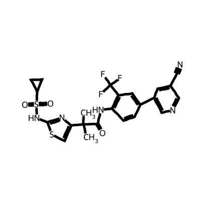 CC(C)(C(=O)Nc1ccc(-c2cncc(C#N)c2)cc1C(F)(F)F)c1csc(NS(=O)(=O)C2CC2)n1